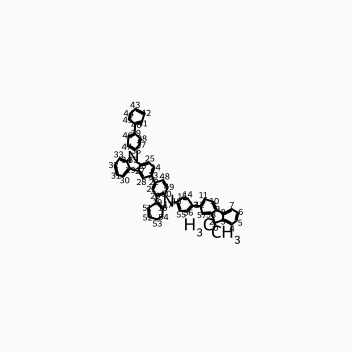 CC1(C)c2ccccc2-c2ccc(-c3ccc(-n4c5c(c6cc(-c7ccc8c(c7)c7ccccc7n8-c7ccc(-c8ccccc8)cc7)ccc64)C=CCC5)cc3)cc21